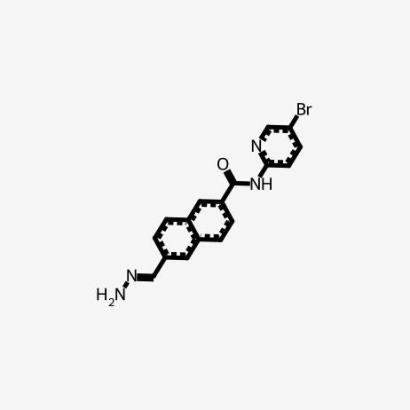 NN=Cc1ccc2cc(C(=O)Nc3ccc(Br)cn3)ccc2c1